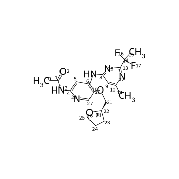 CC(=O)Nc1cc(Nc2cc(C)nc(C(C)(F)F)n2)c(OC[C@H]2CCCO2)cn1